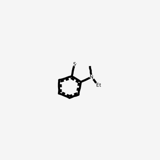 CCN(C)c1ccccc1[S]